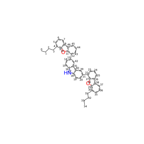 CCCCc1cccc2c1oc1c(-c3ccc4[nH]c5ccc(-c6cccc7c6oc6c(CCCC)cccc67)cc5c4c3)cccc12